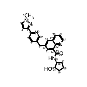 Cn1ccc(-c2ccc(Cc3cc(C(=O)N[C@H]4CCC[C@@H]4O)c4ncccc4c3)cn2)n1